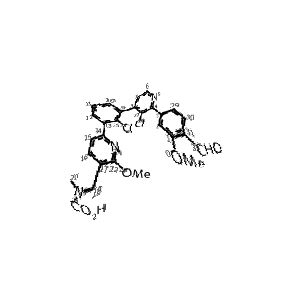 COc1cc(-c2nccc(-c3cccc(-c4ccc(CN(C)C(=O)O)c(OC)n4)c3Cl)c2Cl)ccc1C=O